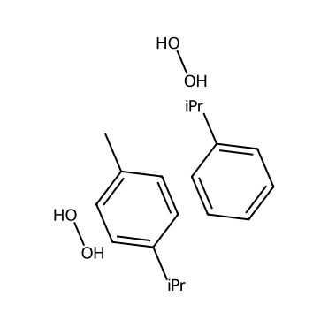 CC(C)c1ccccc1.Cc1ccc(C(C)C)cc1.OO.OO